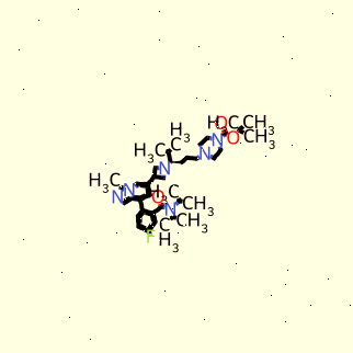 Cc1ncc2c(-c3ccc(F)cc3C(=O)N(C(C)C)C(C)C)cc(C3CN([C@H](CCCN4CCN(C(=O)OC(C)(C)C)CC4)C(C)C)C3)cn12